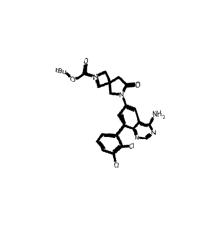 CC(C)(C)OC(=O)N1CC2(CC(=O)N(c3cc(-c4cccc(Cl)c4Cl)c4ncnc(N)c4c3)C2)C1